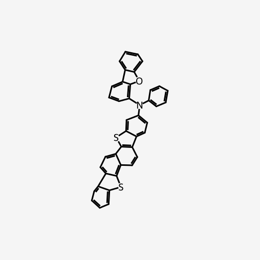 c1ccc(N(c2ccc3c(c2)sc2c3ccc3c2ccc2c4ccccc4sc23)c2cccc3c2oc2ccccc23)cc1